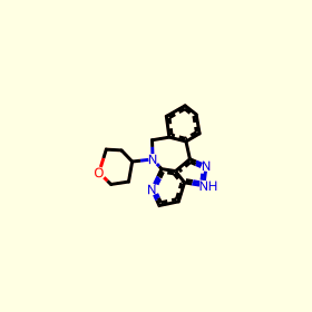 c1ccc2c(c1)CN(C1CCOCC1)c1nccc3[nH]nc-2c13